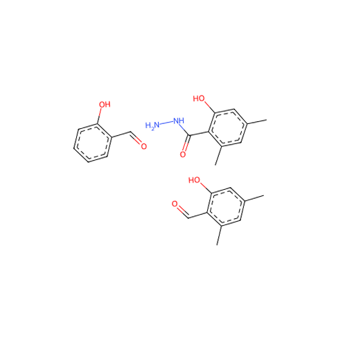 Cc1cc(C)c(C(=O)NN)c(O)c1.Cc1cc(C)c(C=O)c(O)c1.O=Cc1ccccc1O